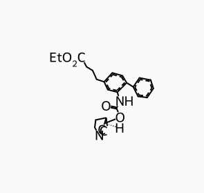 CCOC(=O)CCCc1ccc(-c2ccccc2)c(NC(=O)O[C@H]2CN3CCC2CC3)c1